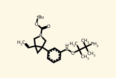 C=CC12CN(C(=O)OC(C)(C)C)CC1(c1cccc(BOC(C)(C)C(C)(C)P)c1)C2